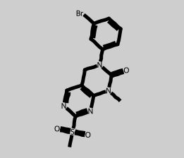 CN1C(=O)N(c2cccc(Br)c2)Cc2cnc(S(C)(=O)=O)nc21